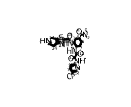 CN(C)C(=O)[C@H]1CC[C@H](NC(=O)C(=O)Nc2ccc(Cl)cn2)[C@H](NC(=O)c2nc3c(s2)CNCC3)C1